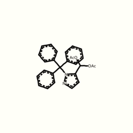 CC(=O)OC(OC(C)=O)c1ccnn1C(c1ccccc1)(c1ccccc1)c1ccccc1